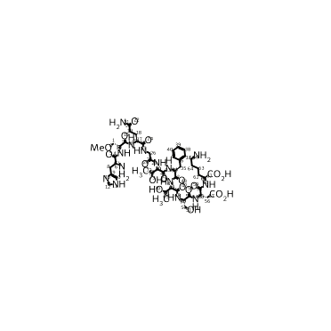 COC[C@@H](NC(=O)[C@@H](N)Cc1c[nH]cn1)C(=O)N[C@@H](CCC(N)=O)C(=O)NCC(=O)N[C@H](C(=O)N[C@@H](Cc1ccccc1)C(=O)N[C@H](C(=O)N[C@@H](CO)C(=O)N[C@@H](CC(=O)O)C(=O)N[C@@H](CCCCN)C(=O)O)[C@@H](C)O)[C@@H](C)O